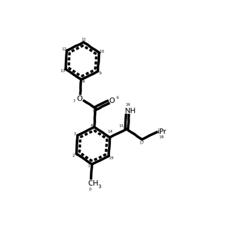 Cc1ccc(C(=O)Oc2ccccc2)c(C(=N)CC(C)C)c1